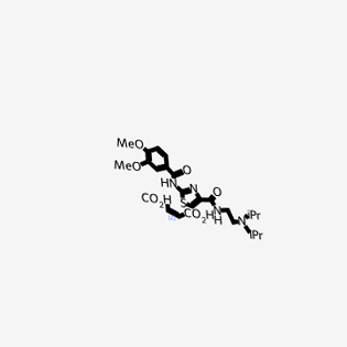 COc1ccc(C(=O)Nc2nc(C(=O)NCCN(C(C)C)C(C)C)cs2)cc1OC.O=C(O)/C=C\C(=O)O